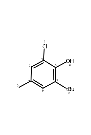 Cc1cc(Cl)c(O)c(C(C)(C)C)c1